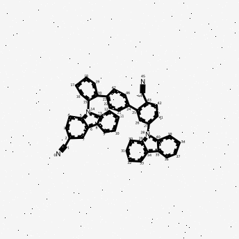 N#Cc1ccc2c(c1)c1ccccc1n2-c1ccccc1-c1ccc(-c2cc(-n3c4ccccc4c4ccccc43)ccc2C#N)cc1